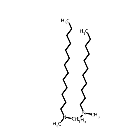 CCCCCCCCCCCCCN(C)C.CCCCCCCCCCCN(C)C